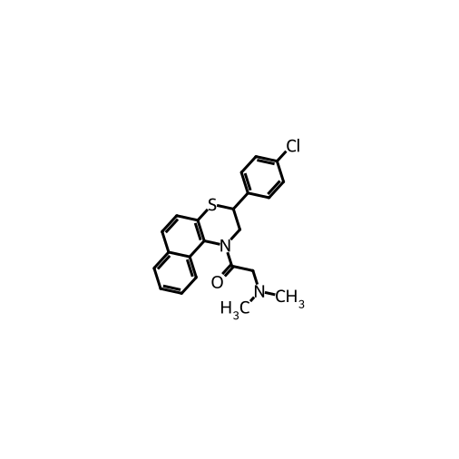 CN(C)CC(=O)N1CC(c2ccc(Cl)cc2)Sc2ccc3ccccc3c21